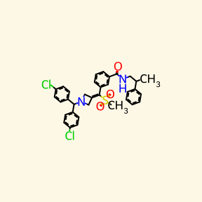 CC(CNC(=O)c1cccc(C(=C2CN(C(c3ccc(Cl)cc3)c3ccc(Cl)cc3)C2)S(C)(=O)=O)c1)c1ccccc1